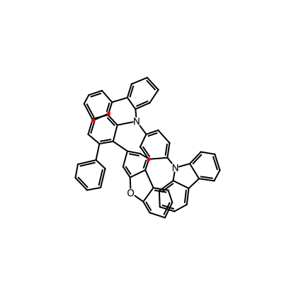 c1ccc(-c2ccccc2N(c2ccc(-n3c4ccccc4c4ccccc43)cc2)c2cccc(-c3ccccc3)c2-c2ccc3c(c2)oc2ccccc23)cc1